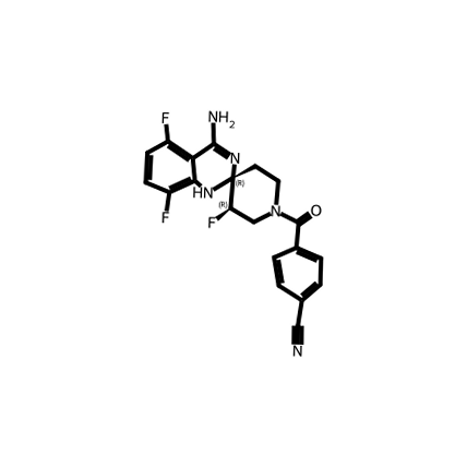 N#Cc1ccc(C(=O)N2CC[C@@]3(N=C(N)c4c(F)ccc(F)c4N3)[C@H](F)C2)cc1